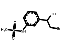 CS(=O)(=O)Nc1cccc(C(O)CBr)c1